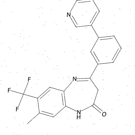 Cc1cc2c(cc1C(F)(F)F)N=C(c1cccc(-c3cccnc3)c1)CC(=O)N2